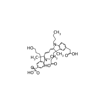 CCCCN1/C(=C/C=C/C2=[N+](CC)c3ccc(S(=O)(=O)O)cc3C2(C)CCCO)C(C)(CCCC(=O)O)c2cc(CC(=O)O)ccc21